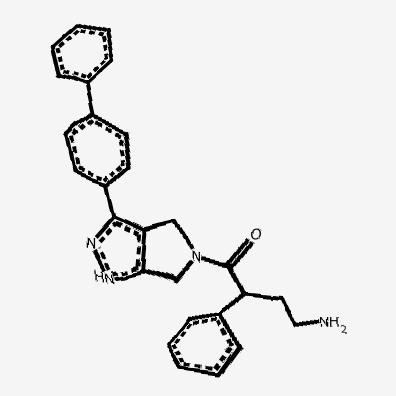 NCCC(C(=O)N1Cc2[nH]nc(-c3ccc(-c4ccccc4)cc3)c2C1)c1ccccc1